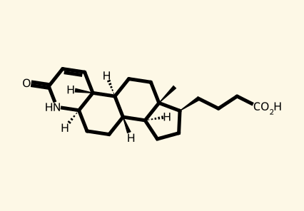 C[C@]12CC[C@@H]3[C@H]4C=CC(=O)N[C@@H]4CC[C@H]3[C@@H]1CC[C@@H]2CCCC(=O)O